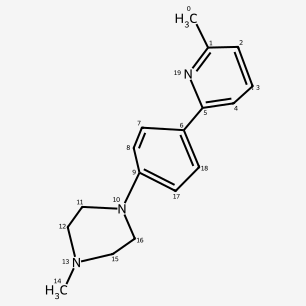 Cc1c[c]cc(-c2ccc(N3CCN(C)CC3)cc2)n1